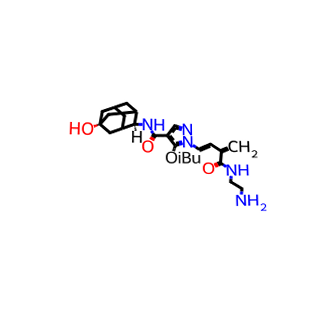 C=C(/C=C/n1ncc(C(=O)N[C@H]2C3CC4CC2C[C@@](O)(C4)C3)c1OCC(C)C)C(=O)NCCN